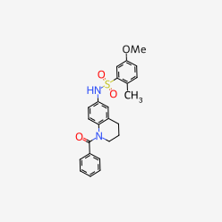 COc1ccc(C)c(S(=O)(=O)Nc2ccc3c(c2)CCCN3C(=O)c2ccccc2)c1